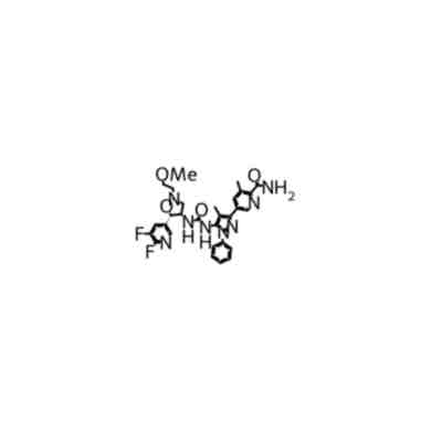 COCCN1C[C@@H](NC(=O)Nc2c(C)c(-c3cnc(C(N)=O)c(C)c3)nn2-c2ccccc2)[C@H](c2cnc(F)c(F)c2)O1